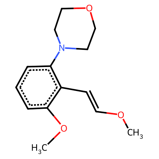 CO/C=C/c1c(OC)cccc1N1CCOCC1